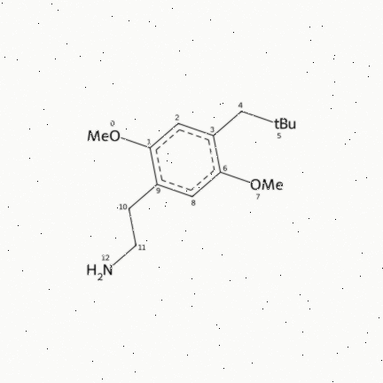 COc1cc(CC(C)(C)C)c(OC)cc1CCN